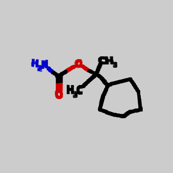 CC(C)(OC(N)=O)C1CCCCC1